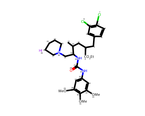 CCOC(=O)C(Cc1ccc(Cl)c(Cl)c1)CC(C)C(CN1CCCCC1)NC(=O)Nc1cc(OC)c(OC)c(OC)c1.I